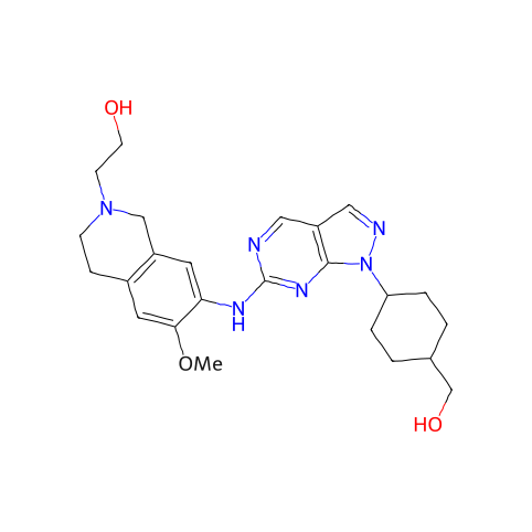 COc1cc2c(cc1Nc1ncc3cnn(C4CCC(CO)CC4)c3n1)CN(CCO)CC2